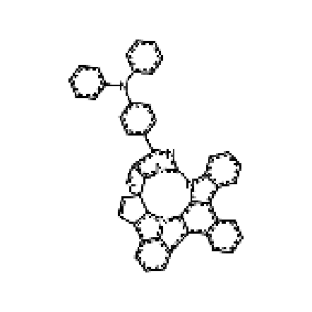 C1=Cc2c(-c3ccc(N(c4ccccc4)c4ccccc4)cc3)nc3nc2C2(C=Cc4c2n2c5c4cccc5c4c5ccccc5c5c6ccccc6n-3c5c42)C1